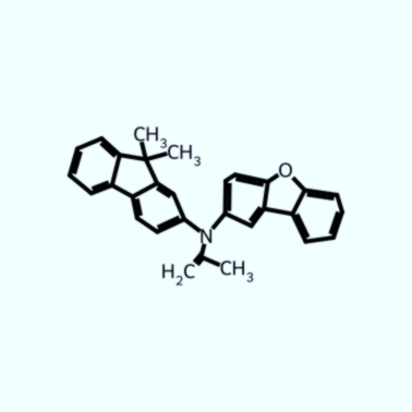 C=C(C)N(c1ccc2c(c1)C(C)(C)c1ccccc1-2)c1ccc2oc3ccccc3c2c1